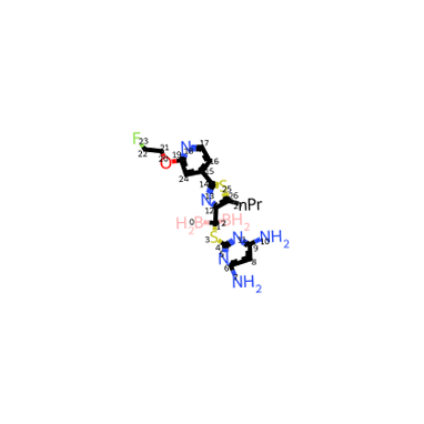 BC(B)(Sc1nc(N)cc(N)n1)c1nc(-c2ccnc(OCCF)c2)sc1CCC